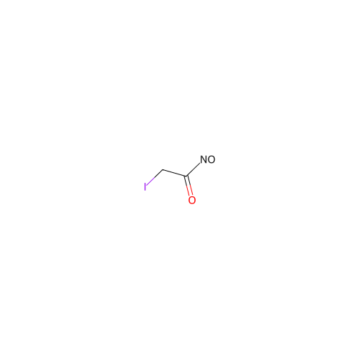 O=NC(=O)CI